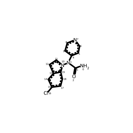 NC(=O)N(c1ccncc1)n1ccc2cc(Cl)ccc21